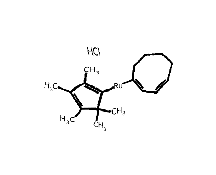 CC1=C(C)C(C)(C)[C]([Ru][C]2=CC=CCCCC2)=C1C.Cl